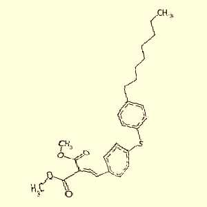 CCCCCCCCc1ccc(Sc2ccc(C=C(C(=O)OC)C(=O)OC)cc2)cc1